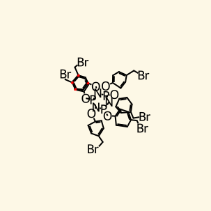 BrCc1ccc(ON2P(Oc3ccc(CBr)cc3)N=P(Oc3ccc(CBr)cc3)(Oc3ccc(CBr)cc3)N(Oc3ccc(CBr)cc3)P2Oc2ccc(CBr)cc2)cc1